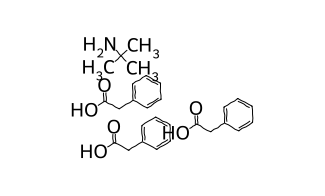 CC(C)(C)N.O=C(O)Cc1ccccc1.O=C(O)Cc1ccccc1.O=C(O)Cc1ccccc1